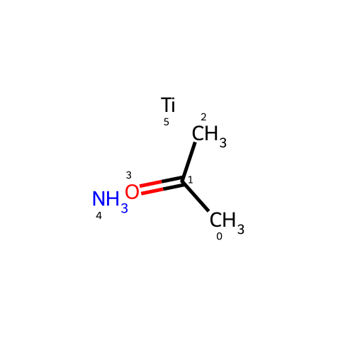 CC(C)=O.N.[Ti]